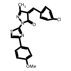 COc1ccc(-c2csc(N3N=C(C)C(=Cc4ccc(Cl)cc4)C3=O)n2)cc1